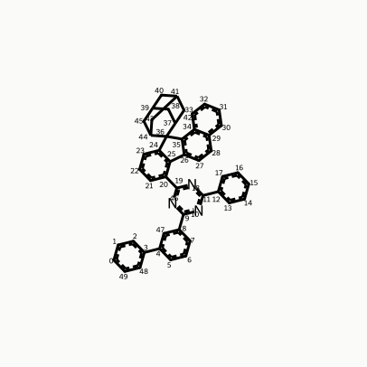 c1ccc(-c2cccc(-c3nc(-c4ccccc4)nc(-c4cccc5c4-c4ccc6ccccc6c4C54C5CC6CC(C5)CC4C6)n3)c2)cc1